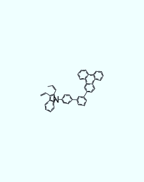 C=Cc1c(/C=C\C)n(-c2ccc(-c3cccc(-c4ccc5c6ccccc6c6ccccc6c5c4)c3)cc2)c2ccccc12